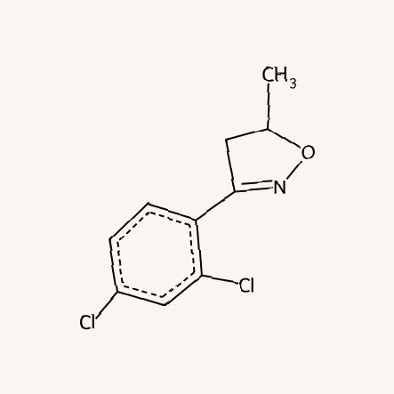 CC1CC(c2ccc(Cl)cc2Cl)=NO1